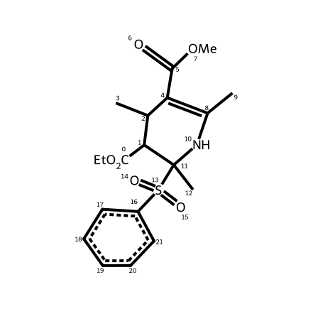 CCOC(=O)C1C(C)C(C(=O)OC)=C(C)NC1(C)S(=O)(=O)c1ccccc1